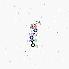 CCCS(=O)(=O)Nc1ccc(F)c(C(=O)Nc2cnc3[nH]c(-c4cccc(Cl)c4)c(Cl)c3c2)c1F